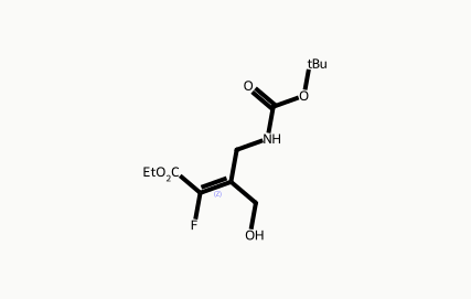 CCOC(=O)/C(F)=C(/CO)CNC(=O)OC(C)(C)C